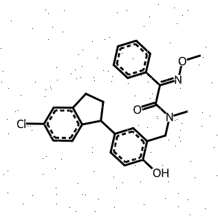 CON=C(C(=O)N(C)Cc1cc(C2CCc3cc(Cl)ccc32)ccc1O)c1ccccc1